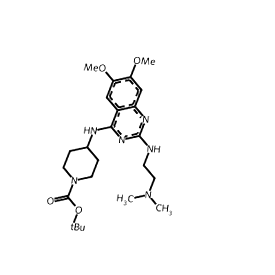 COc1cc2nc(NCCN(C)C)nc(NC3CCN(C(=O)OC(C)(C)C)CC3)c2cc1OC